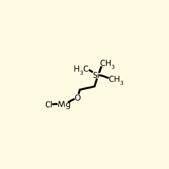 C[Si](C)(C)CC[O][Mg][Cl]